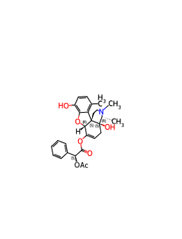 CC(=O)O[C@H](C(=O)OC1=CC[C@@]2(O)[C@@H](C)N(C)CC[C@@]23c2c(C)ccc(O)c2O[C@@H]13)c1ccccc1